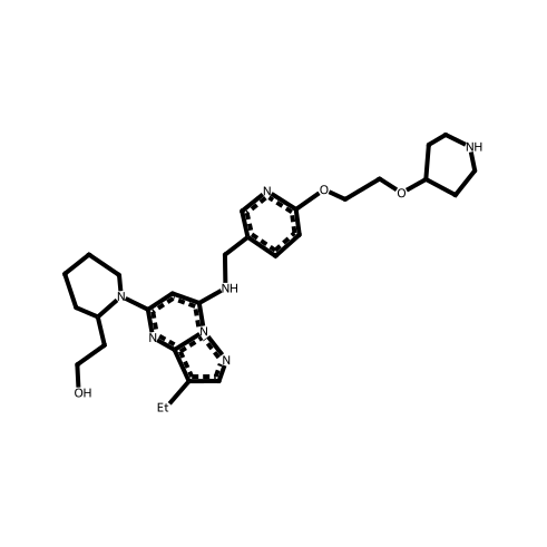 CCc1cnn2c(NCc3ccc(OCCOC4CCNCC4)nc3)cc(N3CCCCC3CCO)nc12